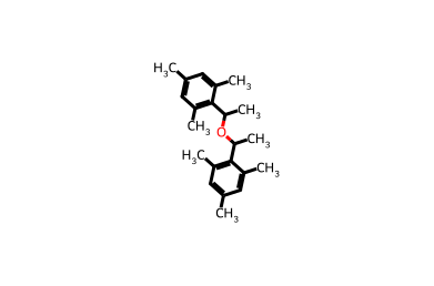 Cc1cc(C)c(C(C)OC(C)c2c(C)cc(C)cc2C)c(C)c1